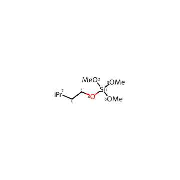 CO[Si](OC)(OC)OCCC(C)C